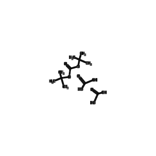 CC(C)(C)OC(=O)OC(C)(C)C.O=C(O)O.O=C(O)O